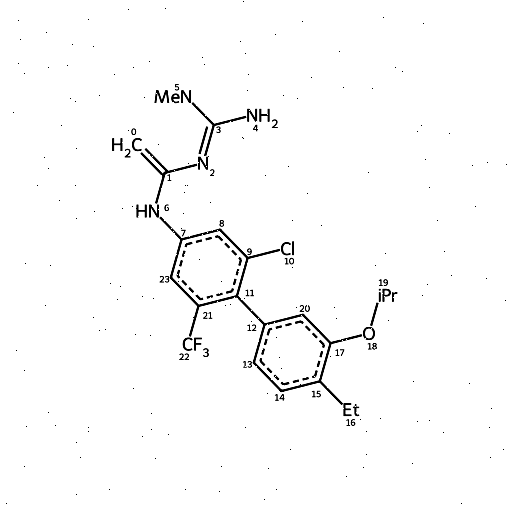 C=C(/N=C(/N)NC)Nc1cc(Cl)c(-c2ccc(CC)c(OC(C)C)c2)c(C(F)(F)F)c1